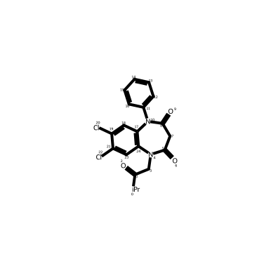 CC(C)C(=O)CN1C(=O)CC(=O)N(c2ccccc2)c2cc(Cl)c(Cl)cc21